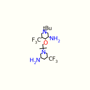 CC(C)(C)N1C[C@@H](N)[C@H](OCC(C)(C)N2C[C@@H](N)C[C@@H](C(F)(F)F)C2)[C@@H](C(F)(F)F)C1